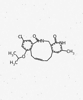 Cc1cc2c(c(=O)[nH]1)CNC(=O)c1cc(Cl)cc(OC(C)C)c1CC=CCC2